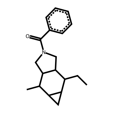 CCC1C2CC2C(C)C2CN(C(=O)c3ccccc3)CC21